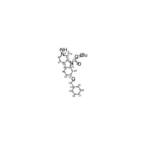 Cc1c2c(cc[n+]1N)c1ccc(OCc3ccccc3)cc1n2C(=O)OC(C)(C)C